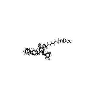 CCCCCCCCCCCCCCCCCCOc1cn(Cc2ccccc2)c(CN2CCN(c3ncccn3)CC2)cc1=O